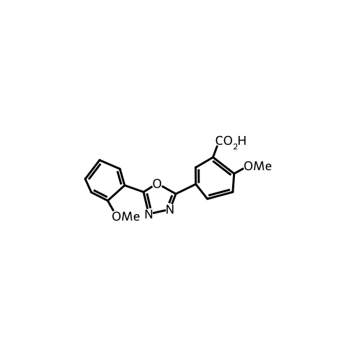 COc1ccc(-c2nnc(-c3ccccc3OC)o2)cc1C(=O)O